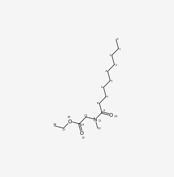 CCCCCCCCCC(=O)N(C)CC(=O)OCC